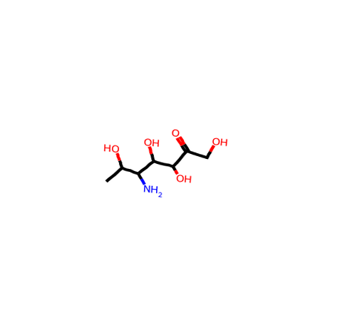 CC(O)C(N)C(O)C(O)C(=O)CO